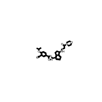 CC(C)Oc1ccc(-c2nc(-c3cccc4c3CCC4NSCC(=O)N3CCOCC3)no2)cc1C#N